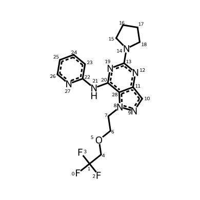 FC(F)(F)COCCn1ncc2nc(N3CCCC3)nc(Nc3ccccn3)c21